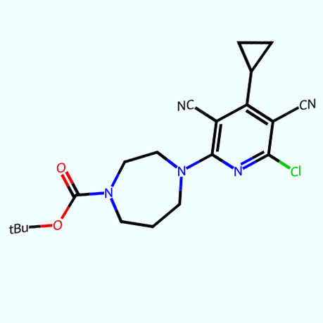 CC(C)(C)OC(=O)N1CCCN(c2nc(Cl)c(C#N)c(C3CC3)c2C#N)CC1